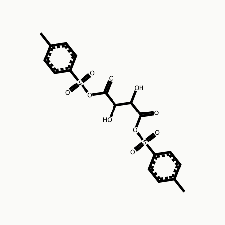 Cc1ccc(S(=O)(=O)OC(=O)C(O)C(O)C(=O)OS(=O)(=O)c2ccc(C)cc2)cc1